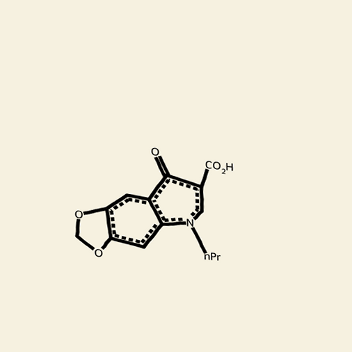 CCCn1cc(C(=O)O)c(=O)c2cc3c(cc21)OCO3